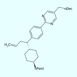 C=CCC(c1ccc(-c2ncc(CCCCCCCCCCC)cn2)cc1)[C@H]1CC[C@H](CCCCC)CC1